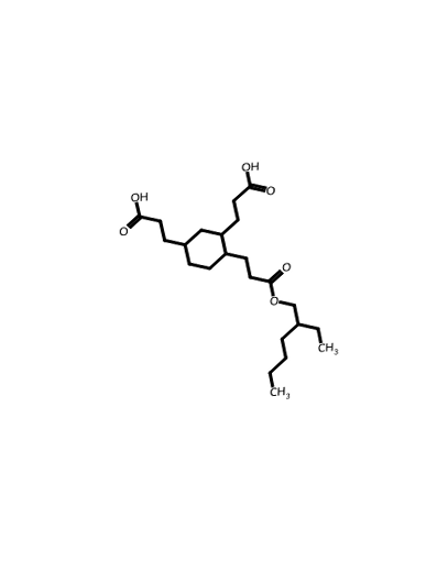 CCCCC(CC)COC(=O)CCC1CCC(CCC(=O)O)CC1CCC(=O)O